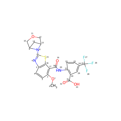 COc1ccc2nc(N3C4COCC3C4)sc2c1C(=O)Nc1ccc(C(F)(F)F)cc1C(=O)O